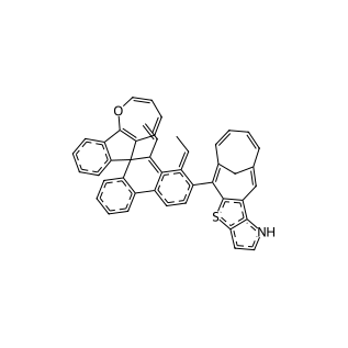 C=CC1=c2c(ccc(C3=C4C=CC=CC(=Cc5c3sc3cc[nH]c53)C4)/c2=C/C)-c2ccccc2C12C1=C(OC=CC=C1)c1ccccc12